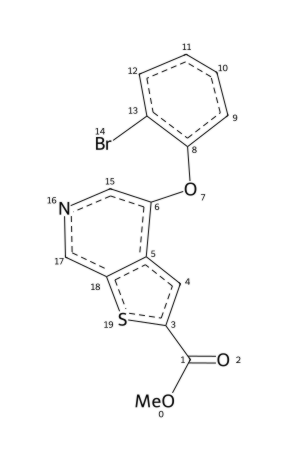 COC(=O)c1cc2c(Oc3ccccc3Br)cncc2s1